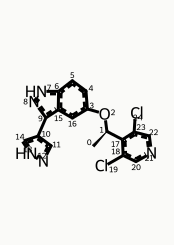 C[C@@H](Oc1ccc2[nH]nc(-c3cn[nH]c3)c2c1)c1c(Cl)cncc1Cl